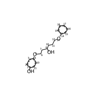 Oc1ccc(OCCC(O)CCCOc2ccccc2)cc1